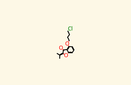 CC(C)=C1Oc2cccc(OCCCCCl)c2C1=O